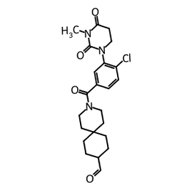 CN1C(=O)CCN(c2cc(C(=O)N3CCC4(CCC(C=O)CC4)CC3)ccc2Cl)C1=O